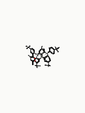 Cc1ccc(-c2cc(C(C)(C)C)ccc2N2c3ccc(C(C)(C)C)cc3B3c4cc(C(C)(C)C)ccc4N(c4ccc(C(C)(C)C)cc4)c4cc(C)cc2c43)c(C)c1